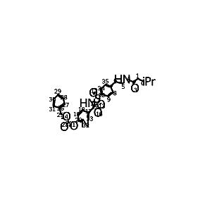 CC(C)CC(=O)NCCc1ccc(S(=O)(=O)NC(=O)c2ccc(OC(=O)OCc3ccccc3)nc2)cc1